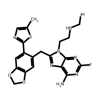 Cc1cnc(-c2cc3c(cc2Cc2nc4c(N)nc(F)nc4n2CCNCC(C)C)OCO3)s1